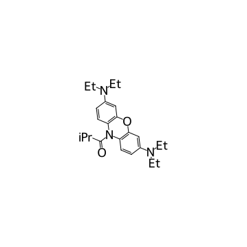 CCN(CC)c1ccc2c(c1)Oc1cc(N(CC)CC)ccc1N2C(=O)C(C)C